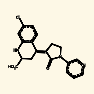 O=C(O)C1CC(=C2CCN(c3cccnc3)C2=O)c2ccc(Cl)cc2N1